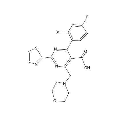 O=C(O)c1c(CN2CCOCC2)nc(-c2nccs2)nc1-c1ccc(F)cc1Br